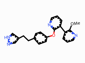 COc1ncccc1-c1cccnc1Oc1ccc(CCc2cn[nH]c2)cc1